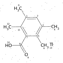 Cc1cc(C)c(C)c(C(=O)O)c1C.[Tl]